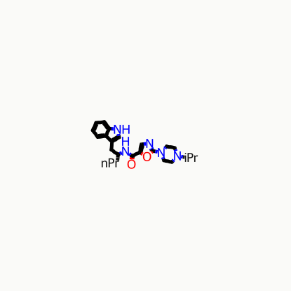 CCCC(Cc1c[nH]c2ccccc12)NC(=O)c1cnc(N2CCN(C(C)C)CC2)o1